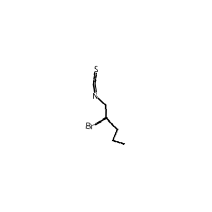 CCCC(Br)CN=C=S